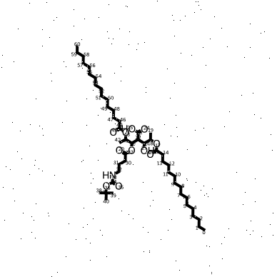 CCCCCCCCCCCCCCCC(=O)OC(C)C(O)C(C(=O)O)C(OC(=O)CCCNC(=O)OC(C)(C)C)C(C)OC(=O)CCCCCCCCCCCCCCC